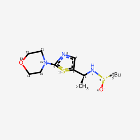 C[C@H](N[S@+]([O-])C(C)(C)C)c1cnc(N2CCOCC2)s1